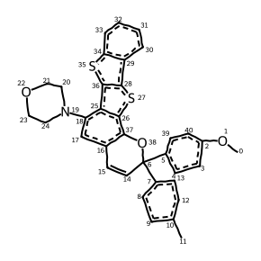 COc1ccc(C2(c3ccc(C)cc3)C=Cc3cc(N4CCOCC4)c4c(sc5c6ccccc6sc54)c3O2)cc1